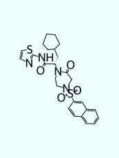 O=C(Nc1nccs1)[C@H](CC1CCCCC1)N1CCN(S(=O)(=O)c2ccc3ccccc3c2)CC1=O